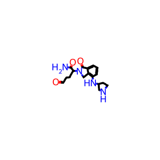 NC(=O)C(CCC=O)N1Cc2c(NC3CCNC3)cccc2C1=O